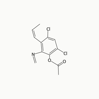 C=Nc1c(/C=C\C)c(Cl)cc(Cl)c1OC(C)=O